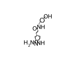 Nc1n[nH]c2ccc(/C=C/C(=O)NCc3ccc(O)cc3)cc12